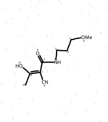 COCCCNC(=O)/C(C#N)=C(/C)O